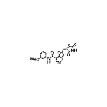 COc1cccc(NC(=O)c2cncc3cc(/C=C4/SC(=S)NC4=O)oc23)c1